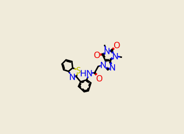 Cn1c(=O)c2c(ncn2CC(=O)Nc2ccccc2C2=NC3C=CC=CC3S2)n(C)c1=O